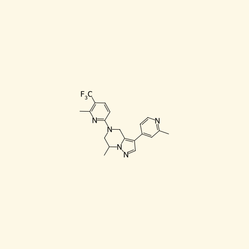 Cc1cc(-c2cnn3c2CN(c2ccc(C(F)(F)F)c(C)n2)CC3C)ccn1